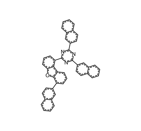 c1ccc2cc(-c3nc(-c4ccc5ccccc5c4)nc(-c4cccc5oc6c(-c7ccc8ccccc8c7)cccc6c45)n3)ccc2c1